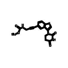 CC(C)(C)OC(=O)NCC#Cc1ccc2scc(N3CCC(=O)NC3=O)c2c1